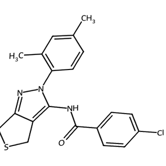 Cc1ccc(-n2nc3c(c2NC(=O)c2ccc(Cl)cc2)CSC3)c(C)c1